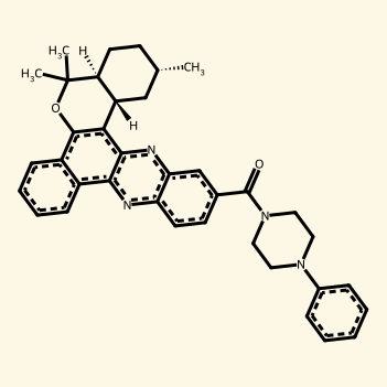 C[C@H]1CC[C@H]2[C@H](C1)c1c(c3ccccc3c3nc4ccc(C(=O)N5CCN(c6ccccc6)CC5)cc4nc13)OC2(C)C